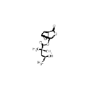 CC(O)CC(C)(C)C(=O)Oc1c2c3oc1cc3C(=O)O2